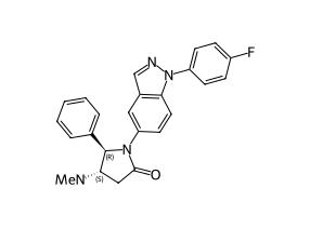 CN[C@H]1CC(=O)N(c2ccc3c(cnn3-c3ccc(F)cc3)c2)[C@@H]1c1ccccc1